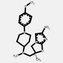 CN(C[C@@]1(C)Cn2cc([N+](=O)[O-])nc2O1)C1CCN(c2ccc(OC(F)(F)F)cc2)CC1